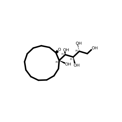 O=C1CCCCCCCCCCC[C@@]1(O)[C@@H](O)[C@H](O)[C@H](O)CO